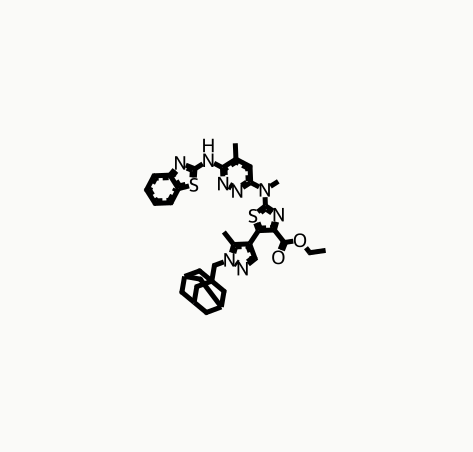 CCOC(=O)c1nc(N(C)c2cc(C)c(Nc3nc4ccccc4s3)nn2)sc1-c1cnn(CC23CC4CC(CC(C4)C2)C3)c1C